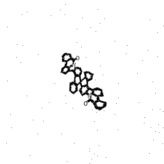 O=c1c2ccccc2c2cccc3c4c5c(ccc4n1c23)C1(c2ccccc2-5)c2ccccc2-c2c1ccc1c2c2cccc3c4ccccc4c(=O)n1c32